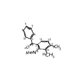 CNc1c(C(=O)c2ccccc2)ccc(C)c1C